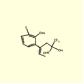 C/C=C(\CC(O)(C=O)C(F)(F)F)c1cccc(F)c1OC